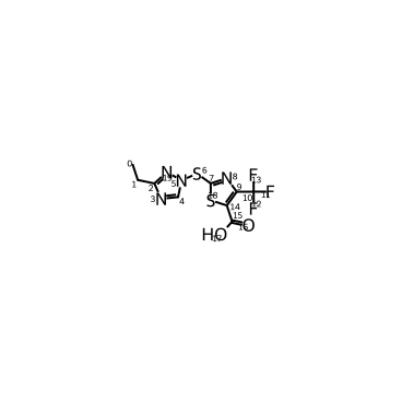 CCc1ncn(Sc2nc(C(F)(F)F)c(C(=O)O)s2)n1